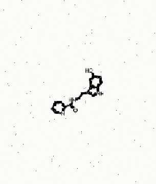 O=C(NCCc1c[nH]c2ccc(O)cc12)c1ccccn1